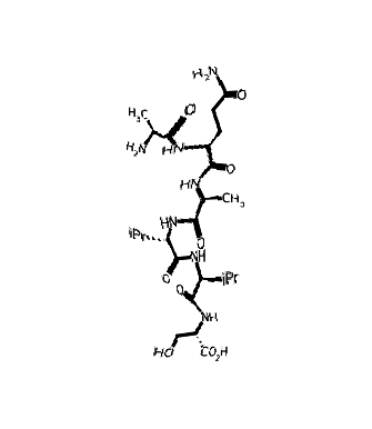 CC(C)[C@H](NC(=O)[C@H](C)NC(=O)[C@H](CCC(N)=O)NC(=O)[C@H](C)N)C(=O)N[C@H](C(=O)N[C@@H](CO)C(=O)O)C(C)C